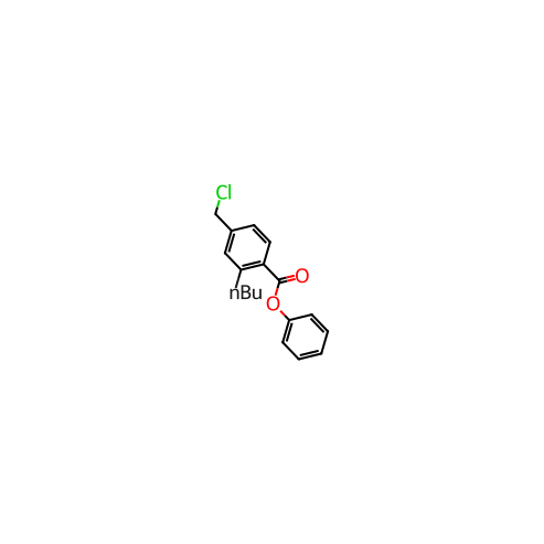 CCCCc1cc(CCl)ccc1C(=O)Oc1ccccc1